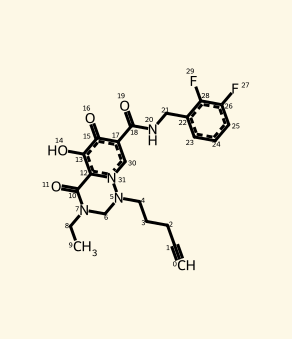 C#CCCCN1CN(CC)C(=O)c2c(O)c(=O)c(C(=O)NCc3cccc(F)c3F)cn21